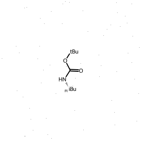 CC[C@@H](C)NC(=O)OC(C)(C)C